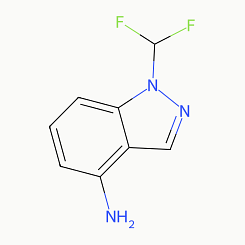 Nc1cccc2c1cnn2C(F)F